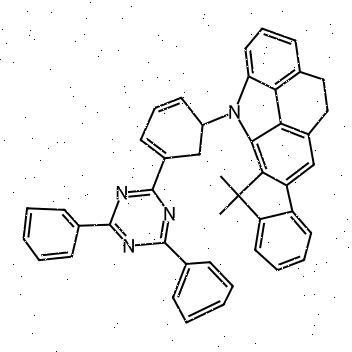 CC1(C)c2ccccc2-c2cc3c4c5c(cccc5n(C5C=CC=C(c6nc(-c7ccccc7)nc(-c7ccccc7)n6)C5)c4c21)CC3